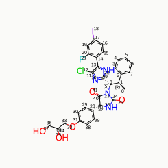 C[C@H](c1ccccc1)[C@@H](c1nc(Cl)c(-c2ccc(I)cc2F)[nH]1)N1C(=O)N[C@H](c2ccc(OC[C@@H](O)CO)cc2)C1=O